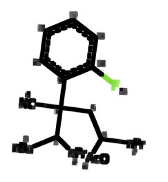 CCCCC(CCC)C(C#N)(CC(CCC)OC(C)=O)c1ccccc1F